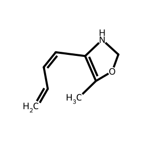 C=C/C=C\C1=C(C)OCN1